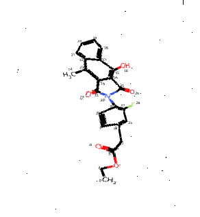 CCOC(=O)Cc1ccc(N2C(=O)c3c(c(O)c4ccccc4c3C)C2=O)c(F)c1